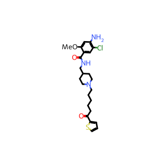 COc1cc(N)c(Cl)cc1C(=O)NCC1CCN(CCCCCC(=O)c2cccs2)CC1